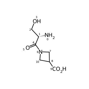 N[C@@H](CO)C(=O)N1CC(C(=O)O)C1